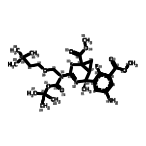 COC(=O)c1cc(N)cc([C@@]2(C)N=C(N(COCC[Si](C)(C)C)C(=O)OC(C)(C)C)SC3(C(=O)OC)CC32)c1F